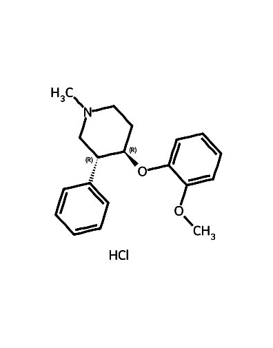 COc1ccccc1O[C@@H]1CCN(C)C[C@H]1c1ccccc1.Cl